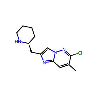 Cc1cc2nc(C[C@@H]3CCCCN3)cn2nc1Cl